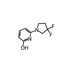 Oc1cccc(N2CCC(F)(F)C2)n1